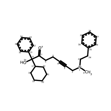 CN(CC#CCCC(=O)C(O)(c1ccccc1)C1CCCCC1)CCc1ccccc1